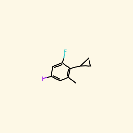 Cc1cc(I)cc(F)c1C1CC1